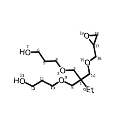 CCC(COCCCO)(COCCCO)COCC1CO1